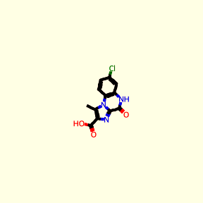 Cc1c(C(=O)O)nc2c(=O)[nH]c3cc(Cl)ccc3n12